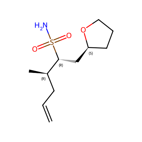 C=CC[C@@H](C)[C@@H](C[C@@H]1CCCO1)S(N)(=O)=O